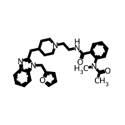 CC(=O)N(C)c1ccccc1C(=O)NCCN1CCC(Cc2nc3ccccc3n2Cc2ccco2)CC1